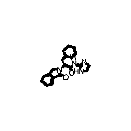 O=C(Nc1ncc[nH]1)[C@H](CC1CCCCC1)N1Cc2ccccc2C1=O